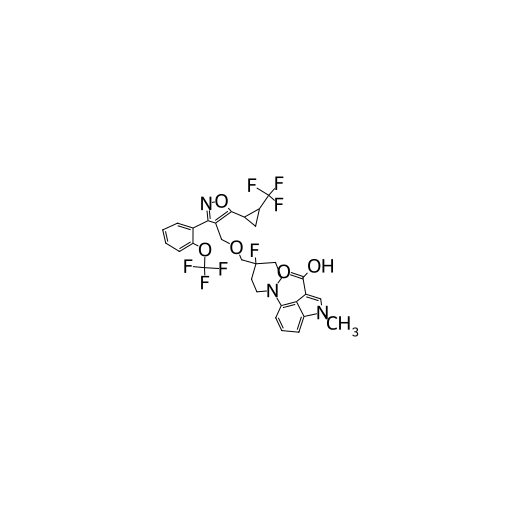 Cn1cc(C(=O)O)c2c(N3CCC(F)(COCc4c(-c5ccccc5OC(F)(F)F)noc4C4CC4C(F)(F)F)CC3)cccc21